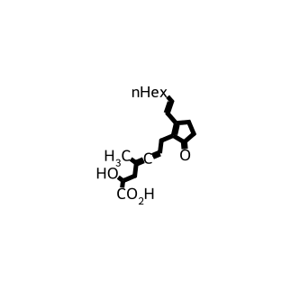 CCCCCC/C=C/C1=C(CC=C=C(C)CC(O)C(=O)O)C(=O)CC1